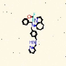 FC(F)Oc1ccccc1CN(Cc1ccc(CNCc2ccccn2)cc1)C1CCCCc2cccnc21